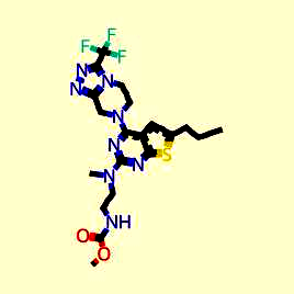 CCCc1cc2c(N3CCn4c(nnc4C(F)(F)F)C3)nc(N(C)CCNC(=O)OC)nc2s1